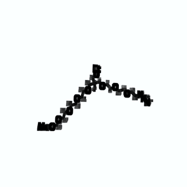 CCOCC(C)(COCCOCCOCCN=[N+]=[N-])COCCOCCOCCOCOC